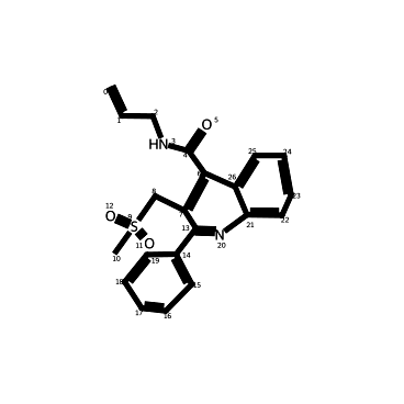 C=CCNC(=O)c1c(CS(C)(=O)=O)c(-c2ccccc2)nc2ccccc12